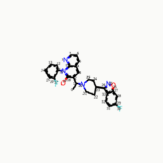 CC(c1cc2cccnc2n(-c2ccccc2F)c1=O)N1CCC(c2noc3cc(F)ccc23)CC1